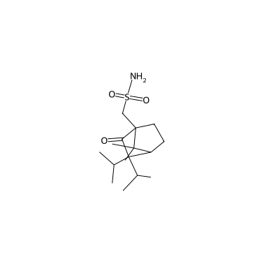 CC(C)C1(C(C)C)C(=O)C2(CS(N)(=O)=O)CCC1C2(C)C